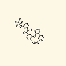 CNc1cc(-c2cccnc2Oc2cc(C(=O)Nc3cccc(OC(F)(F)C(F)F)c3)ccc2C)ccn1